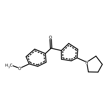 COc1ccc(C(=O)c2ccc(N3CCCC3)cc2)cc1